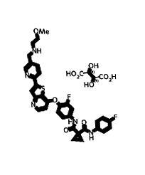 COCCNCc1ccc(-c2cc3nccc(Oc4ccc(NC(=O)C5(C(=O)Nc6ccc(F)cc6)CC5)cc4F)c3s2)nc1.O=C(O)[C@H](O)[C@@H](O)C(=O)O